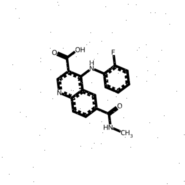 CNC(=O)c1ccc2ncc(C(=O)O)c(Nc3ccccc3F)c2c1